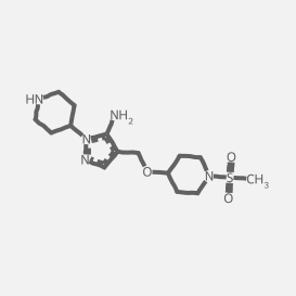 CS(=O)(=O)N1CCC(OCc2cnn(C3CCNCC3)c2N)CC1